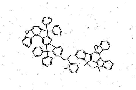 Cc1ccccc1C(Cc1ccc2c(c1)C(C)(C)c1c3c(c4c(oc5ccccc54)c1-2)-c1ccccc1C3(C)C)Cc1ccc2c(c1)C(c1ccccc1)(c1ccccc1)c1cc3c(cc1-2)C(c1ccccc1)(c1ccccc1)c1ccc2oc4ccccc4c2c1-3